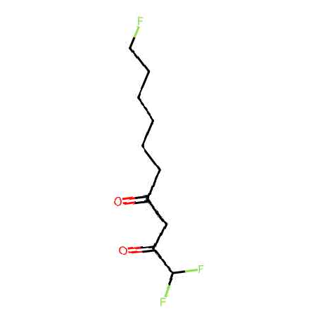 O=C(CCCCCCF)CC(=O)C(F)F